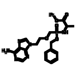 CC(C)OC(=O)C(C)NP(=O)(COCCn1cnc2c(N)ncnc21)OCc1ccccc1